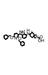 C[C@@H]1CC2(CC[C@@H]1Nc1cccc3c(-c4ccc(OCc5ccccc5)nc4OCc4ccccc4)nn(C)c13)CN(C(=O)O)C2